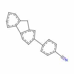 N#Cc1ccc(-c2ccc3c(c2)Cc2ccccc2-3)cc1